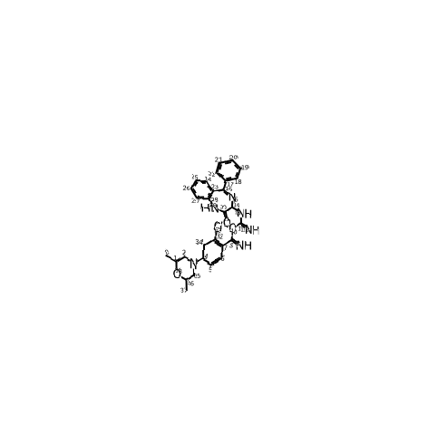 CC1CN(C2C=CC(C(=N)OC(=N)NC3N=C(c4ccccc4)c4ccccc4NC3=O)=C(Cl)C2)CC(C)O1